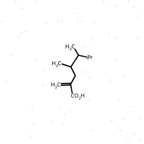 C=C(CC(C)C(C)C(C)C)C(=O)O